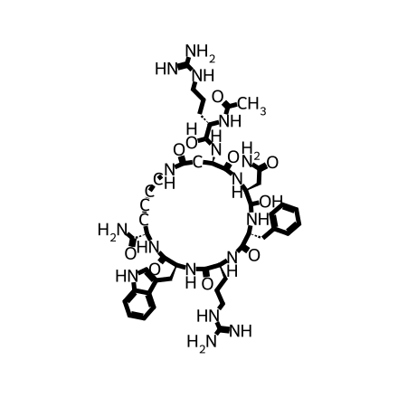 CC(=O)N[C@@H](CCCNC(=N)N)C(O)N[C@H]1CC(=O)NCCCC[C@@H](C(N)=O)NC(=O)[C@H](Cc2c[nH]c3ccccc23)NC(=O)[C@H](CCCNC(=N)N)NC(=O)[C@@H](Cc2ccccc2)NC(O)[C@H](CC(N)=O)NC1=O